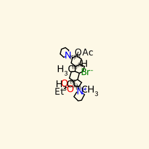 CCC(=O)O[C@@H]1[C@@H]([N+]2(C)CCCCC2)CC2C3CC[C@H]4C[C@H](OC(C)=O)[C@@H](N5CCCCC5)C[C@]4(C)C3CC[C@@]21C.[Br-]